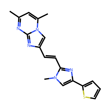 Cc1cc(C)n2cc(/C=C/c3nc(-c4cccs4)cn3C)nc2n1